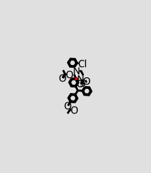 CC(=O)Oc1ccc(C(c2ccc(OC(C)=O)cc2)c2ccccc2S(=O)(=O)N2CCN(c3ccccc3Cl)CC2)cc1